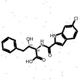 O=C(N[C@@H](C(=O)O)[C@@H](O)Cc1ccccc1)c1cc2ccc(Cl)cc2[nH]1